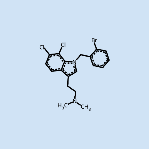 CN(C)CCc1cn(Cc2ccccc2Br)c2c(Cl)c(Cl)ccc12